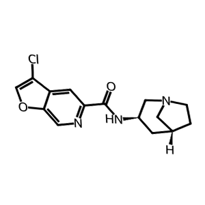 O=C(N[C@@H]1C[C@H]2CCN(C2)C1)c1cc2c(Cl)coc2cn1